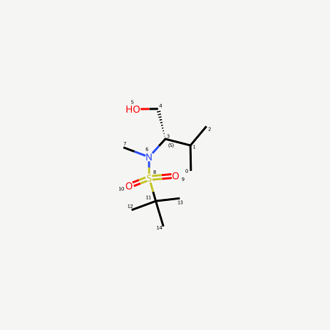 CC(C)[C@@H](CO)N(C)S(=O)(=O)C(C)(C)C